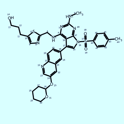 CNc1nc(NCc2ncc(CCCO)s2)c2c(-c3ccc4ncc(OC5CCCCO5)cc4c3)cn(S(=O)(=O)c3ccc(C)cc3)c2n1